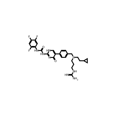 N=C(N)NCCCN(CCC1CC1)Cc1ccc(-c2c[nH]c(NC(=O)Nc3cc(F)c(F)cc3F)nc2=O)cc1